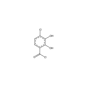 O=C(Cl)c1ccc(Cl)c(O)c1O